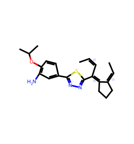 C\C=C/C(=C1/CCC/C1=C/C)c1nnc(-c2ccc(OC(C)C)c(N)c2)s1